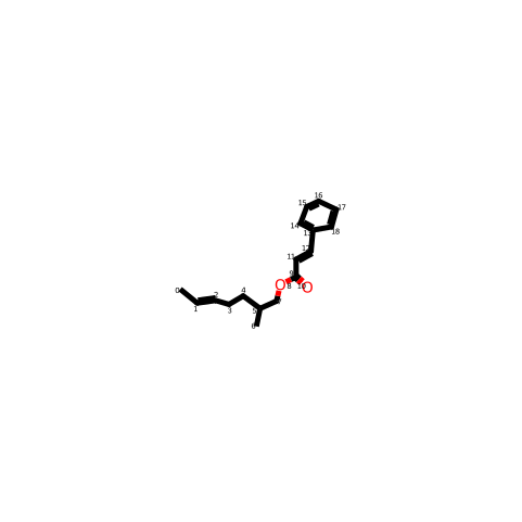 CC=CCCC(C)COC(=O)C=Cc1ccccc1